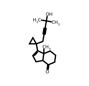 CC(C)(O)C#CCC1(C2=CCC3C(=O)CCCC23C)CC1